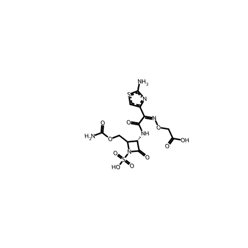 NC(=O)OCC1[C@H](NC(=O)/C(=N\OCC(=O)O)c2csc(N)n2)C(=O)N1S(=O)(=O)O